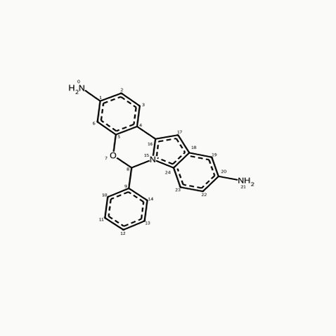 Nc1ccc2c(c1)OC(c1ccccc1)n1c-2cc2cc(N)ccc21